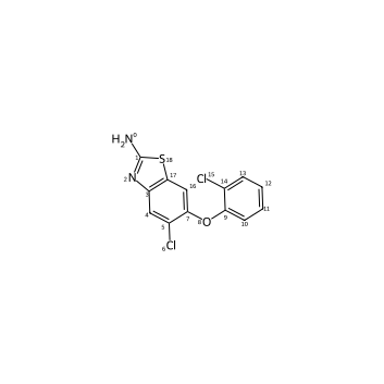 Nc1nc2cc(Cl)c(Oc3ccccc3Cl)cc2s1